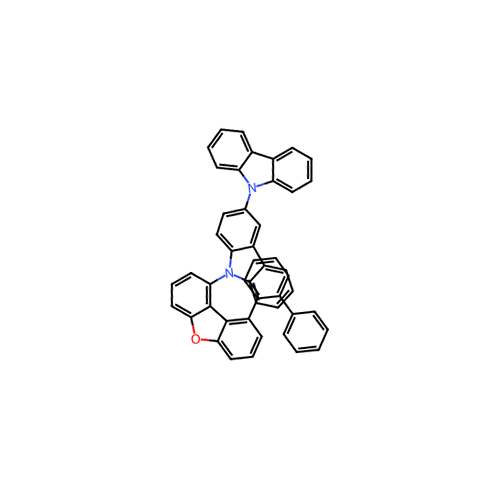 c1ccc(-c2ccccc2-c2cccc3oc4cccc(-n5c6ccccc6c6cc(-n7c8ccccc8c8ccccc87)ccc65)c4c23)cc1